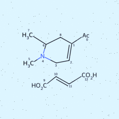 CC(=O)C1=CCN(C)C(C)C1.O=C(O)C=CC(=O)O